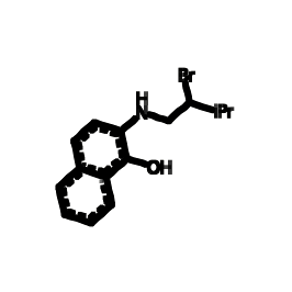 CC(C)C(Br)CNc1ccc2ccccc2c1O